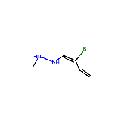 C=C/C(Br)=C\NNC